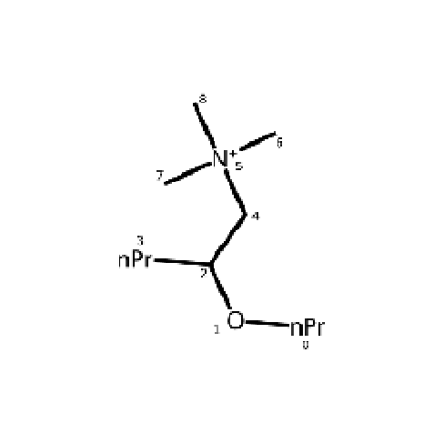 CCCOC(CCC)C[N+](C)(C)C